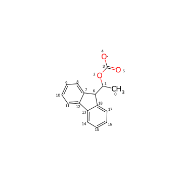 CC(OC([O])=O)C1c2ccccc2-c2ccccc21